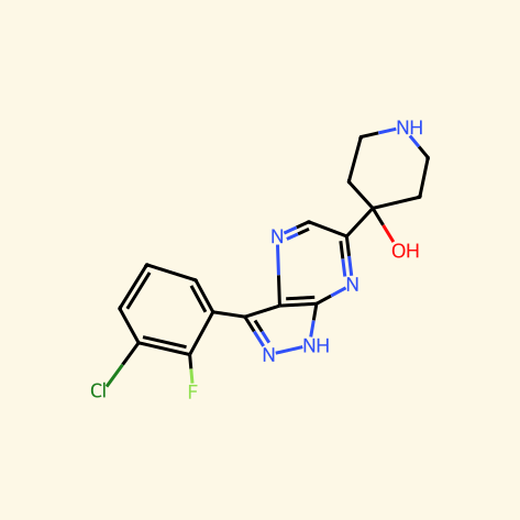 OC1(c2cnc3c(-c4cccc(Cl)c4F)n[nH]c3n2)CCNCC1